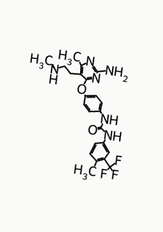 CNCCc1c(C)nc(N)nc1Oc1ccc(NC(=O)Nc2ccc(C)c(C(F)(F)F)c2)cc1